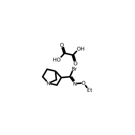 CCON=C(Br)C1CN2CCC1C2.O=C(O)C(=O)O